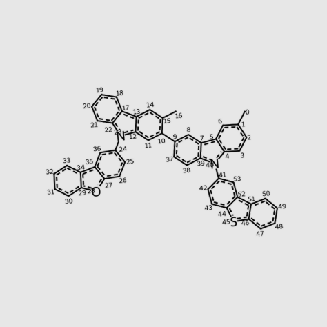 Cc1ccc2c(c1)c1cc(-c3cc4c(cc3C)c3ccccc3n4-c3ccc4oc5ccccc5c4c3)ccc1n2-c1ccc2sc3ccccc3c2c1